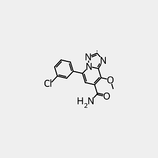 COc1c(C(N)=O)cc(-c2cccc(Cl)c2)n2n[c]nc12